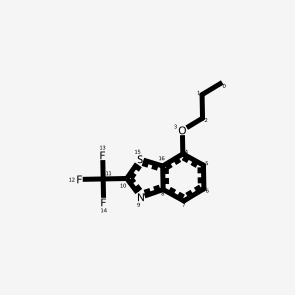 CCCOc1cccc2nc(C(F)(F)F)sc12